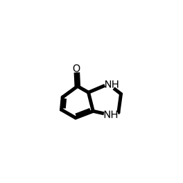 O=C1C=CC=C2NCCNC12